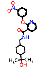 CC(C)(O)C1CCC(CNC(=O)c2cccnc2Oc2cccc([N+](=O)[O-])c2)CC1